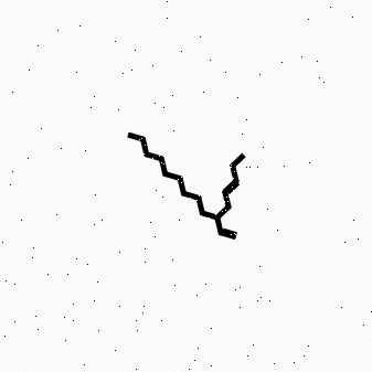 C=CC(CC=CCC)CCCCCCCCC